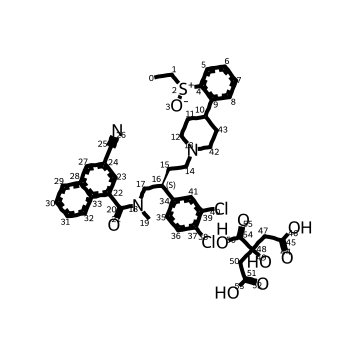 CC[S+]([O-])c1ccccc1C1CCN(CC[C@H](CN(C)C(=O)c2cc(C#N)cc3ccccc23)c2ccc(Cl)c(Cl)c2)CC1.O=C(O)CC(O)(CC(=O)O)C(=O)O